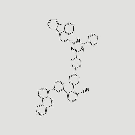 N#Cc1cccc(-c2cccc(-c3cccc4c3ccc3ccccc34)c2)c1-c1ccc(-c2ccc(-c3nc(-c4ccccc4)nc(-c4ccc5c6c(cccc46)-c4ccccc4-5)n3)cc2)cc1